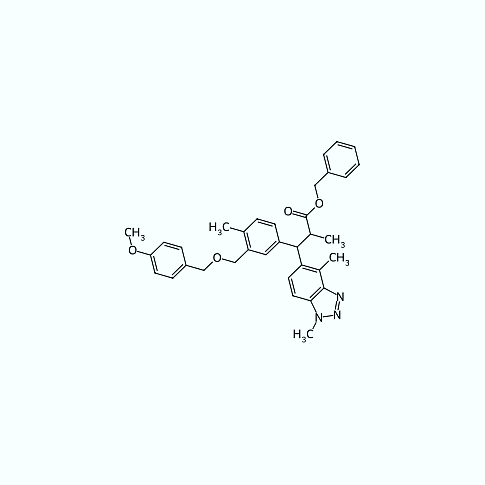 COc1ccc(COCc2cc(C(c3ccc4c(nnn4C)c3C)C(C)C(=O)OCc3ccccc3)ccc2C)cc1